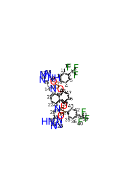 O=S(=O)(c1ccc(C(F)(F)F)cc1)N(Cc1nnn[nH]1)c1ccc(N(Cc2nnn[nH]2)S(=O)(=O)c2ccc(C(F)(F)F)cc2)c2ccccc12